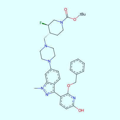 Cn1nc(-c2ccc(O)nc2OCc2ccccc2)c2ccc(N3CCN(C[C@H]4CCN(C(=O)OC(C)(C)C)C[C@@H]4F)CC3)cc21